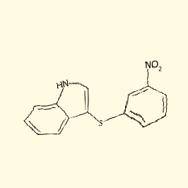 O=[N+]([O-])c1cccc(Sc2c[nH]c3ccccc23)c1